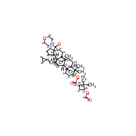 CC1([C@@H]2CC[C@]3(C(=O)N4CCOCC4)CC[C@]4(C)[C@H](CC[C@@H]5[C@@]6(C)CC[C@H](OC(=O)[C@H]7C[C@@H](OC=O)C7(C)C)C(C)(C)[C@@H]6CC[C@]54C)[C@@H]23)CC1